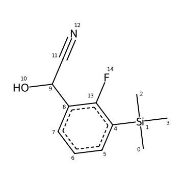 C[Si](C)(C)c1cccc(C(O)C#N)c1F